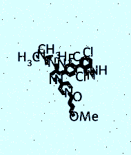 COC/C=C/C(=O)N1CCC(n2ncc3c(N4CC(N(C)C)C4)nc4c(F)c(-c5c(C)c(Cl)cc6[nH]ncc56)c(Cl)cc4c32)CC1